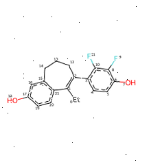 CCC1=C(c2ccc(O)c(F)c2F)CCCc2cc(O)ccc21